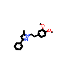 COc1ccc(CCn2nc(-c3ccccc3)cc2C)cc1OC